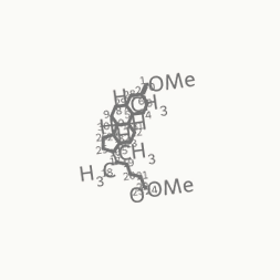 CO/C=C1\CC[C@@]2(C)[C@@H](CC[C@@H]3[C@@H]2CC[C@]2(C)[C@@H](C(C)CCCC(=O)OC)CC[C@@H]32)C1